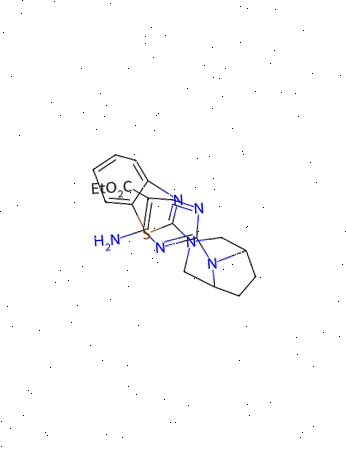 CCOC(=O)c1cnc(N2C3CCC2CN(c2nc4ccccc4s2)C3)nc1N